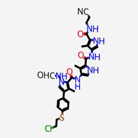 Cc1c(NC(=O)c2[nH]cc(NC(=O)c3c(C)c(-c4ccc(SCCCl)cc4)cn3NC=O)c2C)c[nH]c1C(=O)NCCC#N